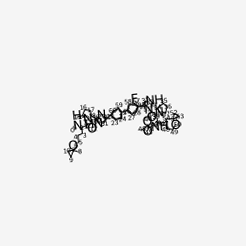 CNC(CCCOC1(C)CC1)C(=O)N1C(C)CCC1c1nc(-c2ccc(-c3ccc(-c4c[nH]c([C@@H]5CCCN5C(=O)[C@@H](NC(=O)OC)[C@@H]5CCOC6(CC6)C5)n4)c(F)c3)cc2)c[nH]1